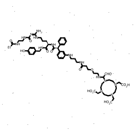 CCC(=O)NCCNC(=O)/N=C(/N)NCCC[C@@H](NC(=O)[C@@H](c1ccccc1)c1cccc(NCCCNC(=O)CCOCCNC(C=O)N2CCN(CC(=O)O)CCN(CC(=O)O)CCN(CC(=O)O)CC2)c1)C(=O)NCc1ccc(O)cc1